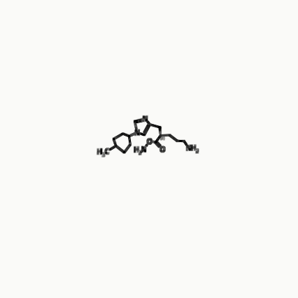 CC1CCC(n2cnc(C[C@@H](CCCN)C(=O)ON)c2)CC1